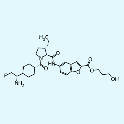 CC[C@H]1CCN(C(=O)[C@H]2CC[C@H]([C@H](N)CF)CC2)[C@@H]1C(=O)Nc1ccc2oc(C(=O)OCCCO)cc2c1